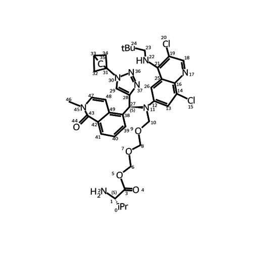 CC(C)[C@H](N)C(=O)OCOCOCN(c1cc(Cl)c2ncc(Cl)c(NCC(C)(C)C)c2c1)[C@H](c1cn(C23CC(C2)C3)nn1)c1cccc2c(=O)n(C)ccc12